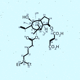 C=C[C@]1(C)C[C@@H](OC(=O)CSCCN(CC)CC)[C@@]2(C)C(C)CC[C@]3(CCC(=O)[C@H]32)[C@@H](C)[C@@H]1O.O=C(O)/C=C/C(=O)O